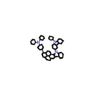 c1ccc(N(c2ccccc2)c2ccc(-c3ccc4ccc5cc6c7ccccc7n(-c7ccc8c(c7)c7ccccc7n8-c7ccccc7)c6c6ccc3c4c56)cc2)cc1